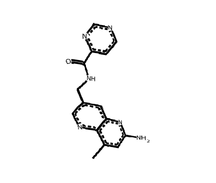 Cc1cc(N)nc2cc(CNC(=O)c3ccncn3)cnc12